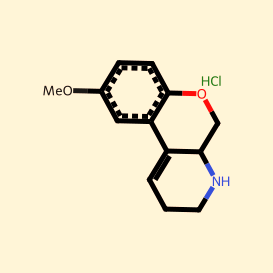 COc1ccc2c(c1)C1=CCCNC1CO2.Cl